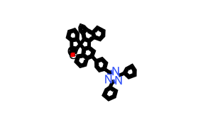 c1ccc(-c2nc(-c3ccccc3)nc(-c3ccc(-c4cc5c(c6ccccc46)C4(c6ccccc6-c6ccccc64)c4c-5c5ccccc5c5ccccc45)cc3)n2)cc1